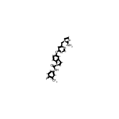 Nc1nccn1Cc1cc(Oc2ccc3c(ccn3C(=O)Nc3ccc(F)c(C(F)(F)F)c3)c2)ncn1